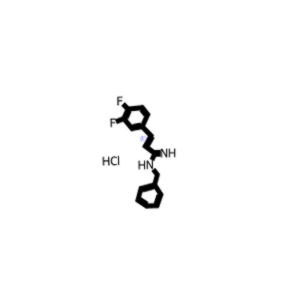 Cl.N=C(/C=C/c1ccc(F)c(F)c1)NCc1ccccc1